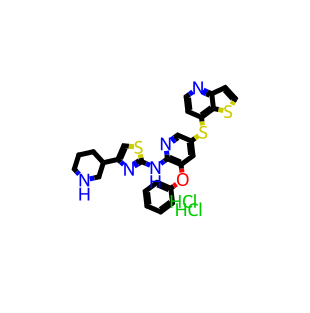 Cl.Cl.c1ccc(Oc2cc(Sc3ccnc4ccsc34)cnc2Nc2nc(C3CCCNC3)cs2)cc1